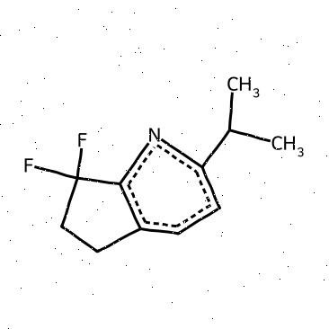 CC(C)c1ccc2c(n1)C(F)(F)CC2